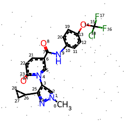 Cn1cc(-n2cc(C(=O)Nc3ccc(OC(F)(F)Cl)cc3)ccc2=O)c(C2CC2)n1